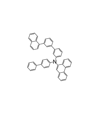 c1ccc(-c2ccc(N(c3cccc(-c4cccc(-c5cccc6ccccc56)c4)c3)c3cc4ccccc4c4ccccc34)cc2)cc1